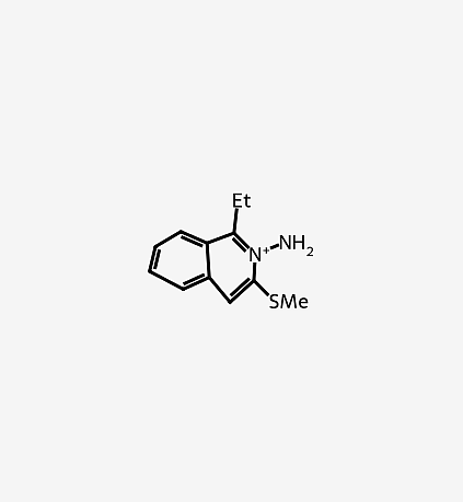 CCc1c2ccccc2cc(SC)[n+]1N